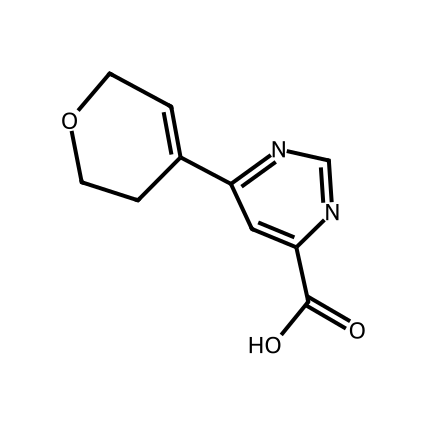 O=C(O)c1cc(C2=CCOCC2)ncn1